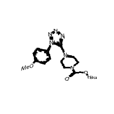 COc1ccc(-n2nnnc2N2CCN(C(=O)OC(C)(C)C)CC2)cc1